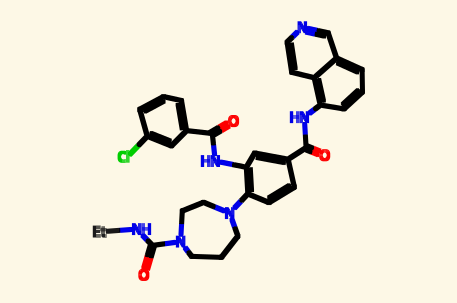 CCNC(=O)N1CCCN(c2ccc(C(=O)Nc3cccc4cnccc34)cc2NC(=O)c2cccc(Cl)c2)CC1